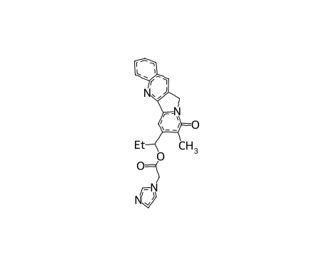 CCC(OC(=O)Cn1ccnc1)c1cc2n(c(=O)c1C)Cc1cc3ccccc3nc1-2